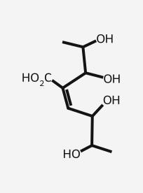 CC(O)C(O)C=C(C(=O)O)C(O)C(C)O